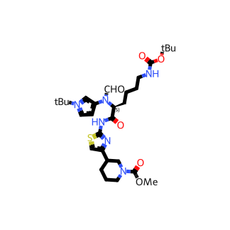 COC(=O)N1CCCC(c2csc(NC(=O)[C@H](CCCCNC(=O)OC(C)(C)C)N(C=O)c3ccn(C(C)(C)C)c3)n2)C1